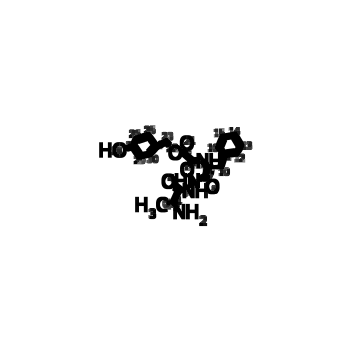 C[C@H](N)C(=O)NNC(=O)[C@H](Cc1ccccc1)NC(=O)C(=O)OCc1ccc(O)cc1